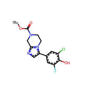 CC(C)(C)OC(=O)N1CCn2c(-c3cc(F)c(O)c(Cl)c3)cnc2C1